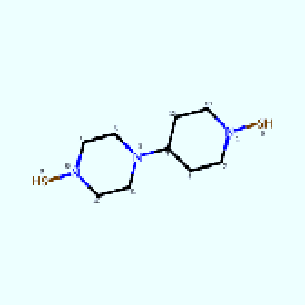 SN1CCC(N2CCN(S)CC2)CC1